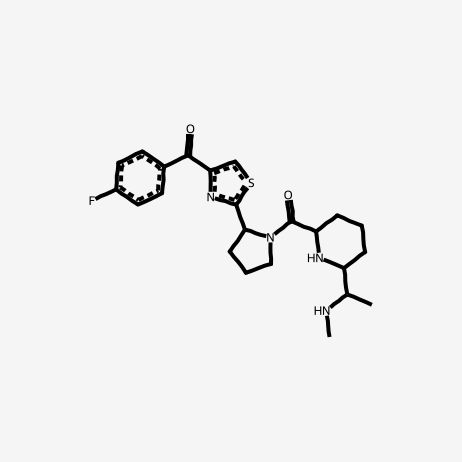 CNC(C)C1CCCC(C(=O)N2CCCC2c2nc(C(=O)c3ccc(F)cc3)cs2)N1